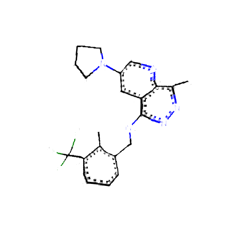 Cc1c(CNc2nnc(C)c3ncc(N4CCCC4)cc23)cccc1C(F)(F)F